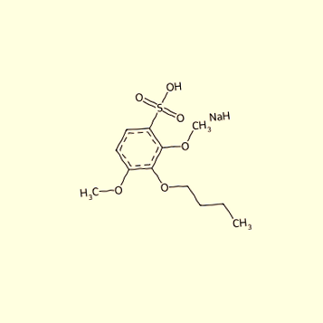 CCCCOc1c(OC)ccc(S(=O)(=O)O)c1OC.[NaH]